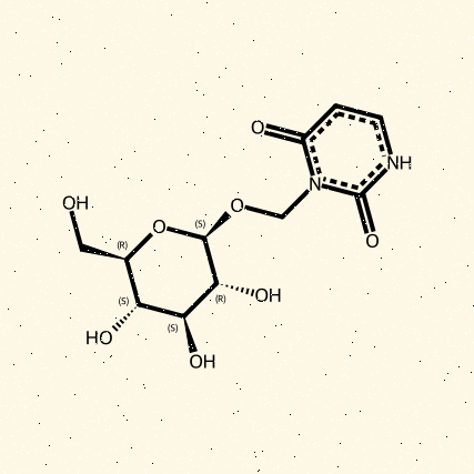 O=c1cc[nH]c(=O)n1CO[C@@H]1O[C@H](CO)[C@@H](O)[C@H](O)[C@H]1O